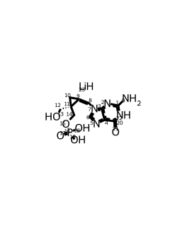 Nc1nc2c(ncn2/C=C2/C[C@]2(CO)COP(=O)(O)O)c(=O)[nH]1.[LiH]